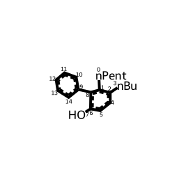 CCCCCc1c(CCCC)ccc(O)c1-c1ccccc1